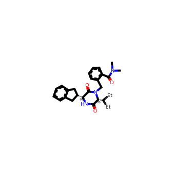 CCC(CC)[C@@H]1C(=O)N[C@H](C2Cc3ccccc3C2)C(=O)N1Cc1ccccc1C(=O)N(C)C